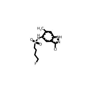 Cc1cc2[nH]nc(Cl)c2cc1NS(=O)(=O)CCCCF